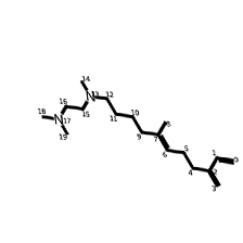 C=CC(=C)CC/C=C(\C)CCCCN(C)CCN(C)C